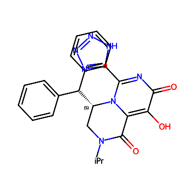 CC(C)N1C[C@H](C(c2ccccc2)c2ccccc2)n2c(-c3nnn[nH]3)nc(=O)c(O)c2C1=O